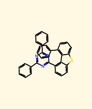 c1ccc(-c2nc(-c3ccccc3)nc(-c3cccc4sc5cccc(-c6ccccc6)c5c34)n2)cc1